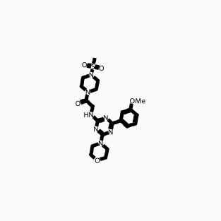 COc1cccc(-c2nc(NCC(=O)N3CCN(S(C)(=O)=O)CC3)nc(N3CCOCC3)n2)c1